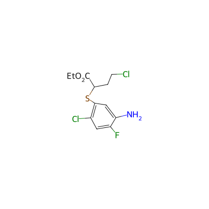 CCOC(=O)C(CCCl)Sc1cc(N)c(F)cc1Cl